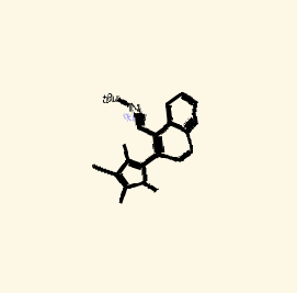 CC1=C(C)C(C)C(c2ccc3ccccc3c2/C=N/C(C)(C)C)=C1C